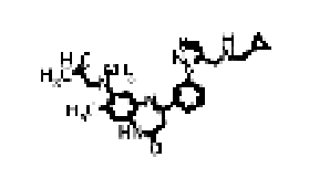 Cc1cc2c(cc1N(C)CC(C)C)N=C(c1cccc(-n3nncc3CNCC3CC3)c1)CC(=O)N2